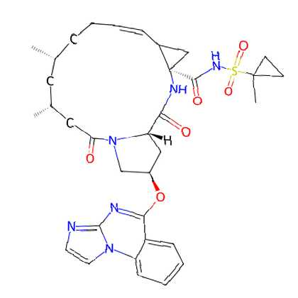 C[C@@H]1CC/C=C\C2C[C@@]2(C(=O)NS(=O)(=O)C2(C)CC2)NC(=O)[C@@H]2C[C@@H](Oc3nc4nccn4c4ccccc34)CN2C(=O)C[C@H](C)C1